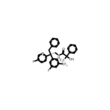 O=C(NC[C@](Cc1ccccc1)(c1cc(F)cc(C(F)(F)F)c1)c1ccc(F)cn1)C(O)(c1ccccc1)C(F)(F)F